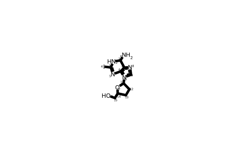 NC1NC(I)=Nc2c1ncn2C1CCC(CO)O1